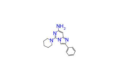 Nc1cc2nc(-c3ccccc3)cn2c(N2CCCCC2)n1